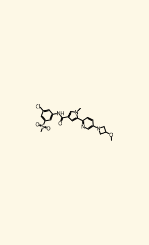 COC1CN(c2ccc(-c3cc(C(=O)Nc4cc(Cl)cc(S(C)(=O)=O)c4)cn3C)nc2)C1